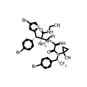 CC(C)C[C@](N)(C(=O)NCC#N)[C@H](c1ccc(Br)cc1)c1cc(Br)cs1.CCCC(=N)C(=O)N([C@@H](c1ccc(Br)cc1)C(F)(F)F)C1(C#N)CC1